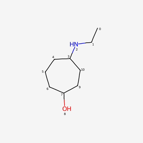 CCNC1CCCC(O)CC1